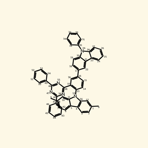 Cc1ccc2c3ccc(C)cc3n(-c3ccc(-c4ccc5c(c4)c4ccccc4n5-c4ccccc4)cc3-c3nc(-c4ccccc4)nc(-c4ccccc4)n3)c2c1